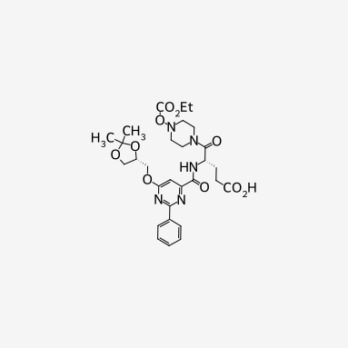 CCOC(=O)ON1CCN(C(=O)[C@H](CCC(=O)O)NC(=O)c2cc(OC[C@@H]3COC(C)(C)O3)nc(-c3ccccc3)n2)CC1